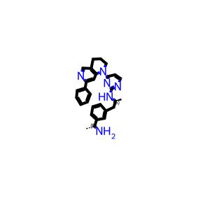 C[C@@H](Cc1cccc([C@@H](C)N)c1)Nc1nccc(N2CCCc3cnc(-c4ccccc4)cc32)n1